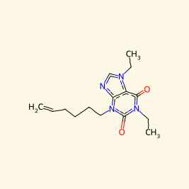 C=CCCCCn1c(=O)n(CC)c(=O)c2c1ncn2CC